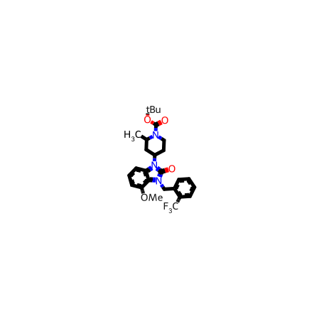 COc1cccc2c1n(Cc1ccccc1C(F)(F)F)c(=O)n2C1CCN(C(=O)OC(C)(C)C)C(C)C1